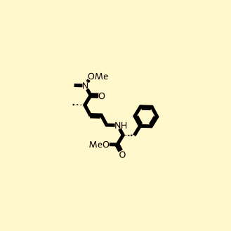 COC(=O)[C@@H](Cc1ccccc1)NC/C=C/[C@H](C)C(=O)N(C)OC